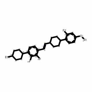 CCOc1ccc(C2CCC(/C=C/c3ccc(C4CCC(CC)CC4)c(F)c3F)CC2)c(F)c1